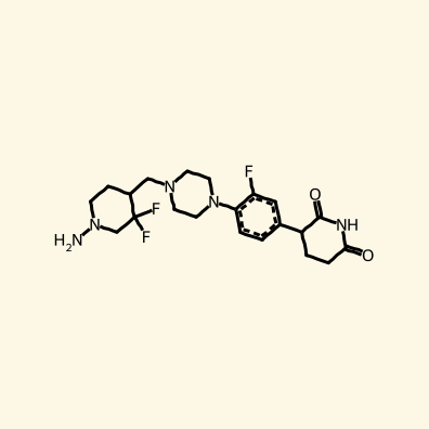 NN1CCC(CN2CCN(c3ccc(C4CCC(=O)NC4=O)cc3F)CC2)C(F)(F)C1